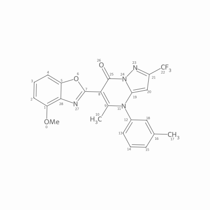 COc1cccc2oc(-c3c(C)n(-c4cccc(C)c4)c4cc(C(F)(F)F)nn4c3=O)nc12